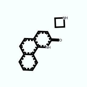 C1CNC1.O=c1ccc2ccc3ccccc3c2[nH]1